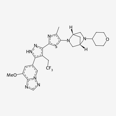 COc1cc(-c2[nH]nc(-c3nc(C)c(N4C[C@@H]5C[C@H]4CN5C4CCOCC4)s3)c2CC(F)(F)F)cn2ncnc12